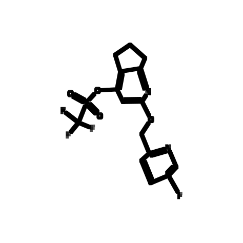 O=S(=O)(Oc1cc(OCc2ccc(F)cn2)nc2c1CCC2)C(F)(F)F